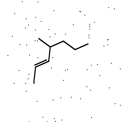 CCCC(C)C=CI